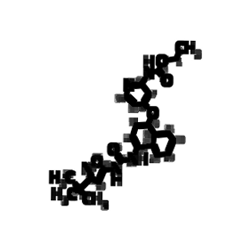 CCOC(=O)Nc1cc(Oc2ccc(NC(=O)Nc3cc(C(C)(C)C)no3)c3ccccc23)ccn1